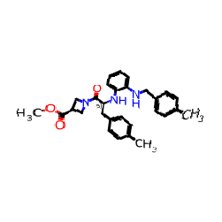 COC(=O)C1CN(C(=O)[C@H](Cc2ccc(C)cc2)Nc2ccccc2NCc2ccc(C)cc2)C1